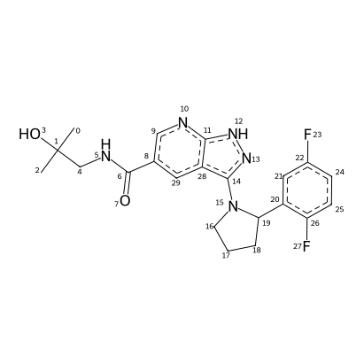 CC(C)(O)CNC(=O)c1cnc2[nH]nc(N3CCCC3c3cc(F)ccc3F)c2c1